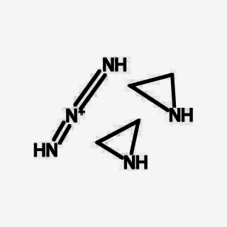 C1CN1.C1CN1.N=[N+]=N